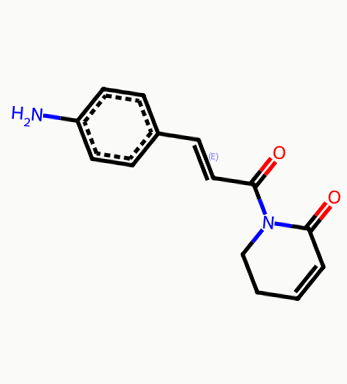 Nc1ccc(/C=C/C(=O)N2CCC=CC2=O)cc1